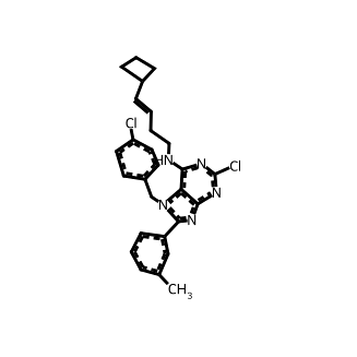 Cc1cccc(-c2nc3nc(Cl)nc(NCCC=CC4CCC4)c3n2Cc2ccc(Cl)cc2)c1